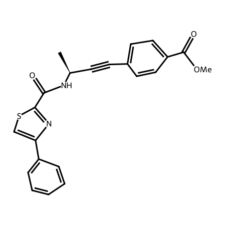 COC(=O)c1ccc(C#C[C@H](C)NC(=O)c2nc(-c3ccccc3)cs2)cc1